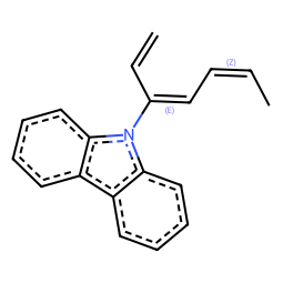 C=C/C(=C\C=C/C)n1c2ccccc2c2ccccc21